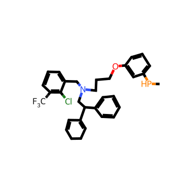 CPc1cccc(OCCCN(Cc2cccc(C(F)(F)F)c2Cl)CC(C2=CCCC=C2)c2ccccc2)c1